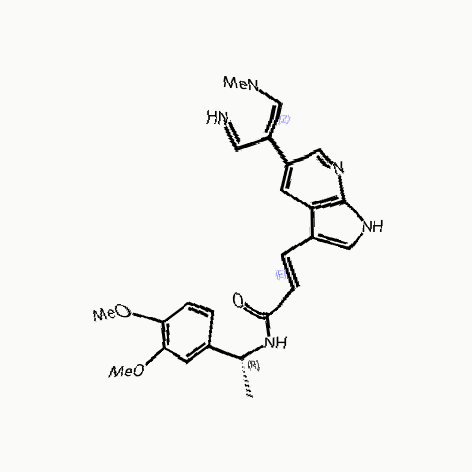 CN/C=C(\C=N)c1cnc2[nH]cc(/C=C/C(=O)N[C@H](C)c3ccc(OC)c(OC)c3)c2c1